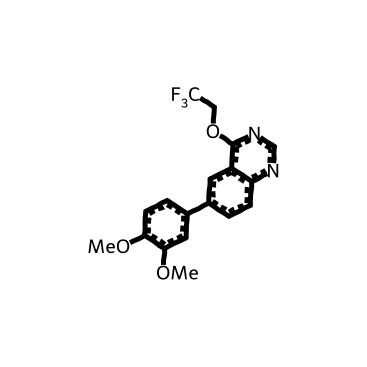 COc1ccc(-c2ccc3ncnc(OCC(F)(F)F)c3c2)cc1OC